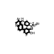 CC(=O)c1cnc2ccc(-c3cc(F)c(O)c(Cl)c3)cc2c1N[C@H]1CC[C@H](NC(=O)OC(C)(C)C)CC1